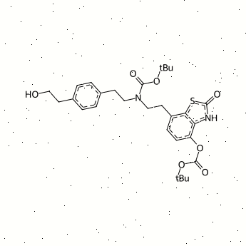 CC(C)(C)OC(=O)Oc1ccc(CCN(CCc2ccc(CCO)cc2)C(=O)OC(C)(C)C)c2sc(=O)[nH]c12